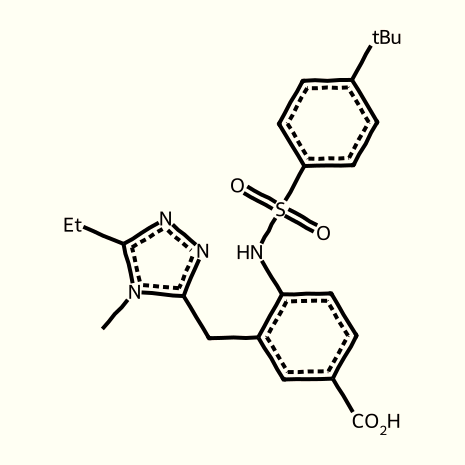 CCc1nnc(Cc2cc(C(=O)O)ccc2NS(=O)(=O)c2ccc(C(C)(C)C)cc2)n1C